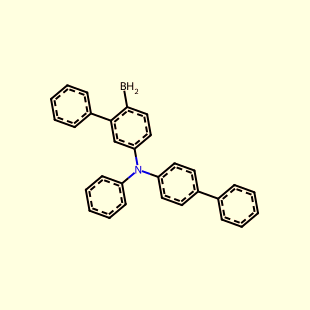 Bc1ccc(N(c2ccccc2)c2ccc(-c3ccccc3)cc2)cc1-c1ccccc1